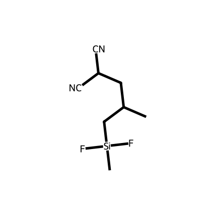 CC(CC(C#N)C#N)C[Si](C)(F)F